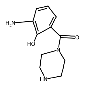 Nc1cccc(C(=O)N2CCNCC2)c1O